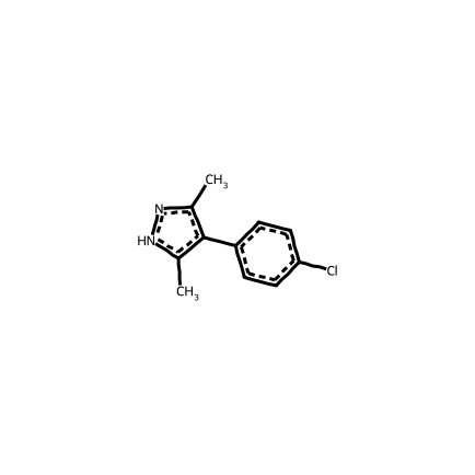 Cc1n[nH]c(C)c1-c1ccc(Cl)cc1